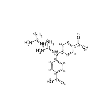 N=C(N)N.N=C(N)N.O=C(O)c1ccc(Sc2ccc(C(=O)O)cc2)cc1